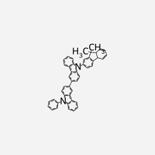 CC1(C)c2cc(-n3c4ccccc4c4cc(-c5ccc6c(c5)c5ccccc5n6-c5ccccc5)ccc43)ccc2C2C=CC=CC21